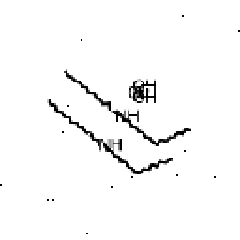 CCCCCCCC/C=C\CCCCCCCCNCCCCCCCCCCCCCCCC.CCCCCCCC/C=C\CCCCCCCCNCCCCCCCCCCCCCCCC.O=S(=O)(O)O